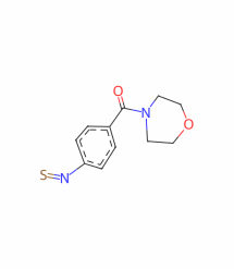 O=C(c1ccc(N=S)cc1)N1CCOCC1